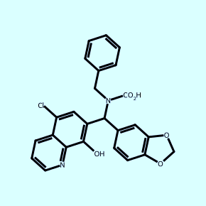 O=C(O)N(Cc1ccccc1)C(c1ccc2c(c1)OCO2)c1cc(Cl)c2cccnc2c1O